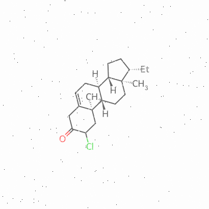 CC[C@H]1CC[C@H]2[C@@H]3CC=C4CC(=O)C(Cl)C[C@]4(C)[C@H]3CC[C@]12C